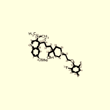 COc1ccc2ncc(N(C)C)c([C@H](F)CCC3(CO)CCN(CCOc4c(F)cc(F)cc4F)CC3)c2c1